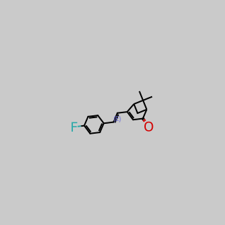 CC1(C)C2CC1C(/C=C/c1ccc(F)cc1)=CC2=O